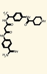 CC(NC(=O)CC(=O)Nc1ccc(C(=N)N)cc1)c1ccc(NC(=O)C2CCNCC2)cc1